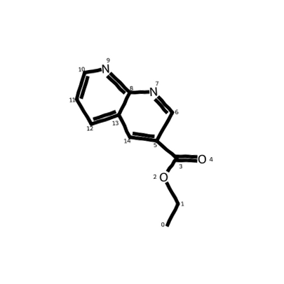 CCOC(=O)c1cnc2ncccc2c1